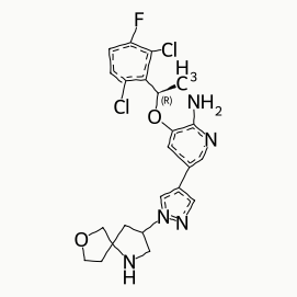 C[C@@H](Oc1cc(-c2cnn(C3CNC4(CCOC4)C3)c2)cnc1N)c1c(Cl)ccc(F)c1Cl